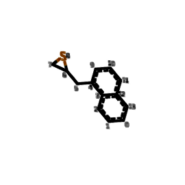 c1ccc2c(CC3CS3)cccc2c1